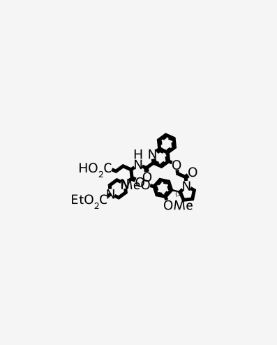 CCOC(=O)N1CCN(C(=O)C(CCC(=O)O)NC(=O)c2cc(OCC(=O)N3CCC[C@H]3c3ccc(OC)cc3OC)c3ccccc3n2)CC1